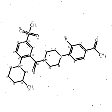 CC(=O)c1ccc(N2CCN(C(=O)c3cc(S(C)(=O)=O)ccc3N3CCCC(C)C3)CC2)c(F)c1